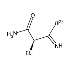 CCCC(=N)[C@@H](CC)C(N)=O